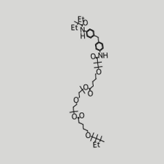 CCC(C)(CC)C(=O)Nc1ccc(Cc2ccc(NC(=O)C(C)(C)C(C)(C)OCCCCC(=O)OC(C)(C)CCOCCC(C)(C)OC(=O)CCCCOC(C)(C)C(C)(C)C(C)(C)CC)cc2)cc1